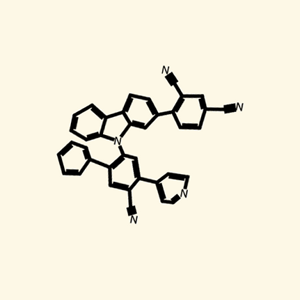 N#Cc1ccc(-c2ccc3c4ccccc4n(-c4cc(-c5ccncc5)c(C#N)cc4-c4ccccc4)c3c2)c(C#N)c1